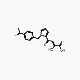 CC(=O)c1ccc(Cn2nccc2C(=O)C=C(O)C(=O)O)cc1